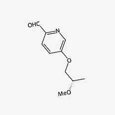 CO[C@@H](C)COc1ccc(C=O)nc1